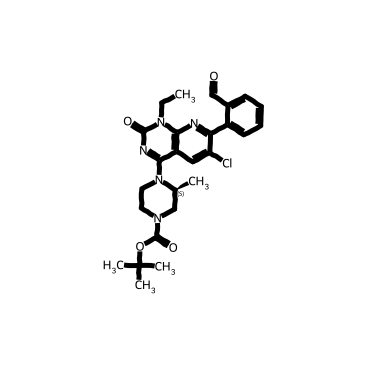 CCn1c(=O)nc(N2CCN(C(=O)OC(C)(C)C)C[C@@H]2C)c2cc(Cl)c(-c3ccccc3C=O)nc21